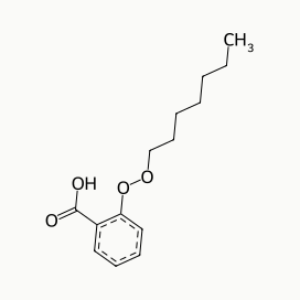 CCCCCCCOOc1ccccc1C(=O)O